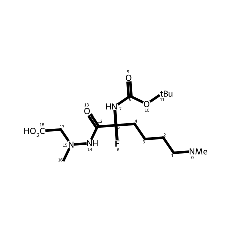 CNCCCCC(F)(NC(=O)OC(C)(C)C)C(=O)NN(C)CC(=O)O